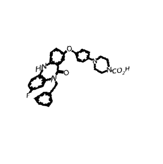 O=C(O)N1CCN(c2ccc(Oc3ccc4c(c3)C(=O)N(Cc3ccccc3)c3cc(F)ccc3N4)cc2)CC1